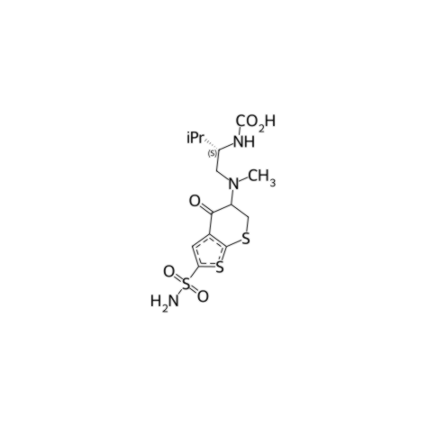 CC(C)[C@@H](CN(C)C1CSc2sc(S(N)(=O)=O)cc2C1=O)NC(=O)O